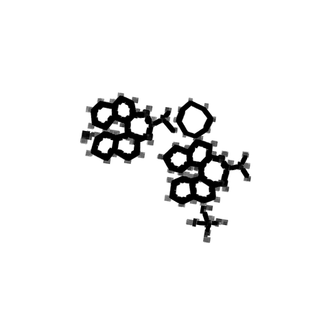 C1=C\CC/C=C\CC/1.CN(C)p1oc2ccc3ccccc3c2c2c(ccc3ccccc32)o1.CN(C)p1oc2ccc3ccccc3c2c2c(ccc3ccccc32)o1.F[B-](F)(F)F.[Rh+]